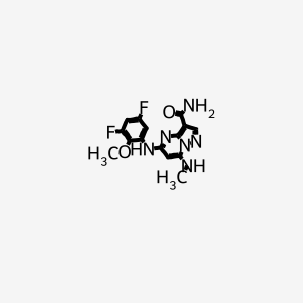 CNc1cc(Nc2cc(F)cc(F)c2OC)nc2c(C(N)=O)cnn12